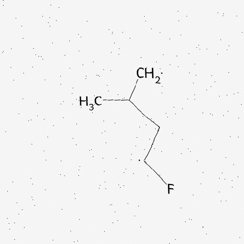 [CH2]C(C)C[CH]F